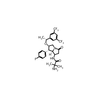 C[C@@H](O[C@H]1CN2C(=O)CC(NC(=O)C(C)(C)N)[C@H]2[C@@H]1c1ccc(F)cc1)c1cc(C(F)(F)F)cc(C(F)(F)F)c1